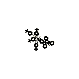 CC(C)(C)c1ccc(N2c3cc(C(C)(C)C)ccc3B3c4sc5cc6c(cc5c4N(c4ccc(C(C)(C)C)cc4)c4cc(C(C)(C)C)cc2c43)-c2ccccc2C62c3ccccc3-c3c2sc2ccccc32)cc1